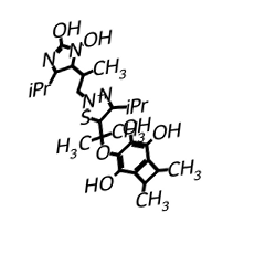 CC(C)C1N=C(O)N(O)C1C(C)C[N+]1=NC(C(C)C)C(C(C)(C)Oc2c(O)c(O)c3c(c2O)C(C)C3C)S1